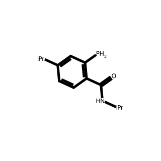 CC(C)NC(=O)c1ccc(C(C)C)cc1P